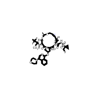 CC[C@@H]1C[C@@H](C)CC/C=C\[C@@H]2C[C@@]2(C(=O)NS(=O)(=O)C2(CF)CC2)NC(=O)[C@@H]2C[C@@H](Oc3ncc(N4CCOCC4)c4ccccc34)CN2C(=O)[C@H]1N(C(=O)O)C(C)(C)C(C)(F)F